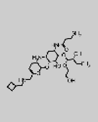 CC[C@@H](O)[C@H](OCCO)O[C@@H]1[C@@H](O)[C@H](O[C@@H]2CCC=C(CNCC3CCC3)O2)[C@@H](N)C[C@H]1NC(=O)CCN